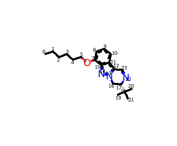 CCCCCCOc1cccc2c3n(nc12)C[C@@H](C(C)(C)C)N=C3